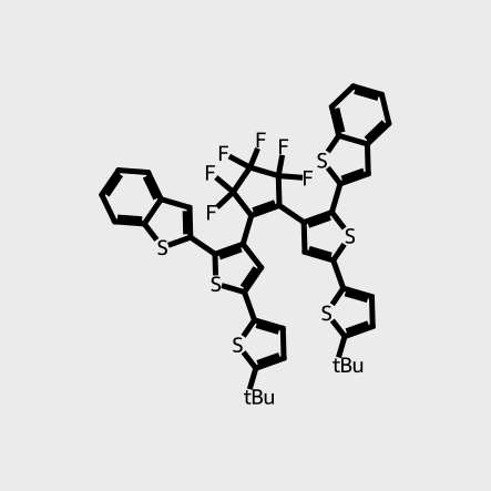 CC(C)(C)c1ccc(-c2cc(C3=C(c4cc(-c5ccc(C(C)(C)C)s5)sc4-c4cc5ccccc5s4)C(F)(F)C(F)(F)C3(F)F)c(-c3cc4ccccc4s3)s2)s1